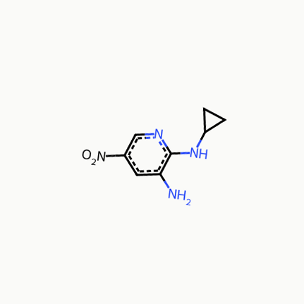 Nc1cc([N+](=O)[O-])cnc1NC1CC1